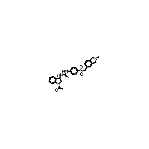 CC(=O)N1CC(NC(=O)Nc2ccc(S(=O)(=O)Cc3ccc4c(c3)CN(C)C4)cc2)c2ccccc21